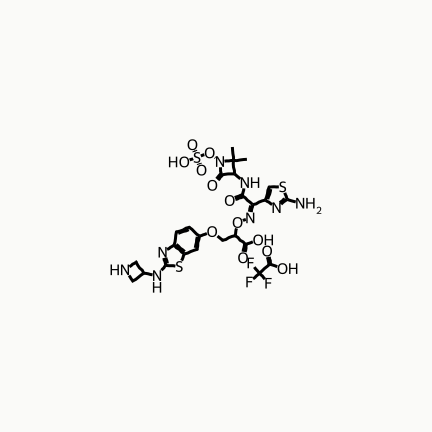 CC1(C)C(NC(=O)C(=NOC(COc2ccc3nc(NC4CNC4)sc3c2)C(=O)O)c2csc(N)n2)C(=O)N1OS(=O)(=O)O.O=C(O)C(F)(F)F